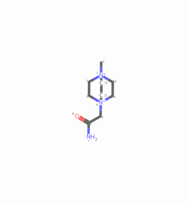 C[N+]12CC[N+](CC(N)=O)(CC1)CC2